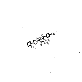 CC(NC(=O)N1CCN(c2ncccc2C(F)(F)F)CC1)C(C)(C)C(=O)c1ccc(C#N)cc1